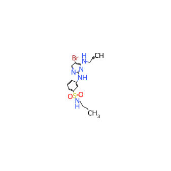 C#CCNc1nc(Nc2cccc(S(=O)(=O)NCCCC)c2)ncc1Br